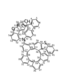 CC1(C)c2ccccc2-c2ccc(N(c3ccc4c5ccccc5c5ccccc5c5ccccc5c5c(ccc6sc7ccccc7c65)c4c3)c3cccc4oc5ccccc5c34)cc21